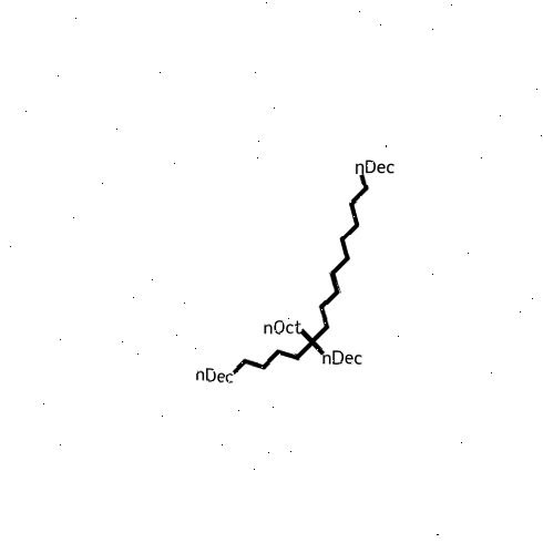 CCCCCCCCCCCCCCCCCCCC(CCCCCCCC)(CCCCCCCCCC)CCCCCCCCCCCCCC